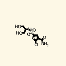 NC(=O)c1cc(S(=O)(=O)NC(CO)CO)sc1Cl